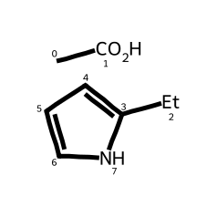 CC(=O)O.CCc1ccc[nH]1